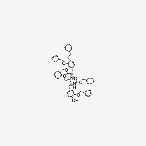 O=C(N[C@@H](Cc1ccc(O)c(OCc2ccccc2)c1)C(=O)N[C@@H](Cc1ccc(CCc2ccccc2)c(OCc2ccccc2)c1)C(=O)OCc1ccccc1)OCc1ccccc1